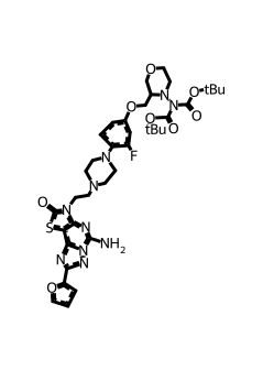 CC(C)(C)OC(=O)N(C(=O)OC(C)(C)C)N1CCOCC1COc1ccc(N2CCN(CCn3c(=O)sc4c3nc(N)n3nc(-c5ccco5)nc43)CC2)c(F)c1